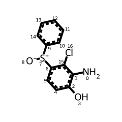 Nc1c(O)ccc([S+]([O-])c2ccccc2)c1Cl